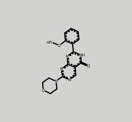 CCCOc1ccccc1-c1nc2nc(N3CCOCC3)ncc2c(=O)[nH]1